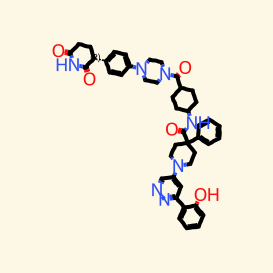 O=C1CC[C@H](c2ccc(N3CCN(C(=O)C4CCC(NC(=O)C5(c6ccccc6)CCN(c6cnnc(-c7ccccc7O)c6)CC5)CC4)CC3)cc2)C(=O)N1